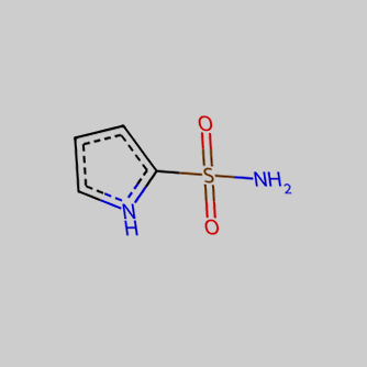 NS(=O)(=O)c1ccc[nH]1